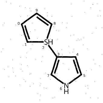 C1=C[SH](c2cc[nH]c2)C=C1